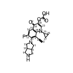 C#Cc1c(N2CC3CNCC3C2)c(F)cc2c(=O)c(OC(=O)O)cn(C3CC3)c12